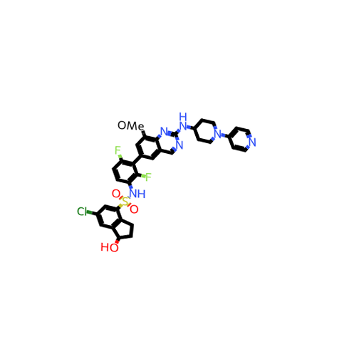 COc1cc(-c2c(F)ccc(NS(=O)(=O)c3cc(Cl)cc4c3CCC4O)c2F)cc2cnc(NC3CCN(c4ccncc4)CC3)nc12